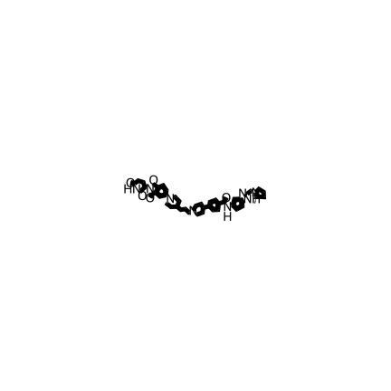 C[C@H]1CCCN1Cc1nc2cc(NC(=O)c3ccc(C4CCN(CCCC5CCN(c6ccc7c(c6)C(=O)N(C6CCC(=O)NC6=O)C7=O)CC5)CC4)cc3)ccc2[nH]1